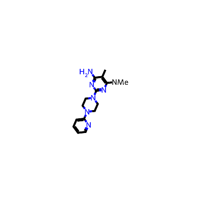 CNc1nc(N2CCN(c3ccccn3)CC2)nc(N)c1C